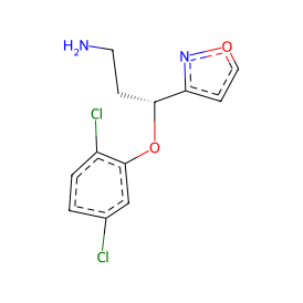 NCC[C@@H](Oc1cc(Cl)ccc1Cl)c1ccon1